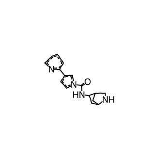 O=C(NC1CC2CC1CN2)n1ccc(-c2ccccn2)c1